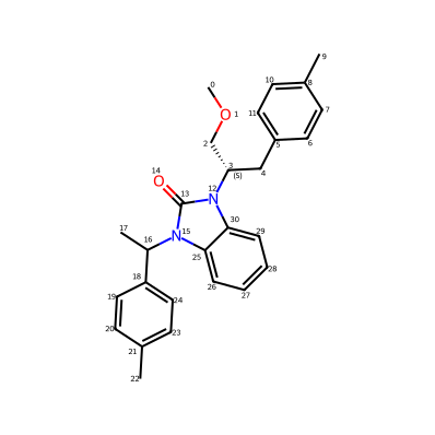 COC[C@H](Cc1ccc(C)cc1)n1c(=O)n(C(C)c2ccc(C)cc2)c2ccccc21